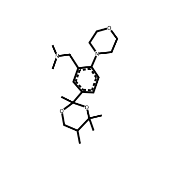 CC1COC(C)(c2ccc(N3CCOCC3)c(CN(C)C)c2)OC1(C)C